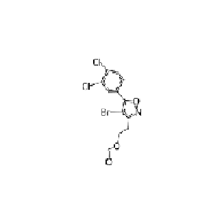 O=COCCc1noc(-c2ccc(Cl)c(Cl)c2)c1Br